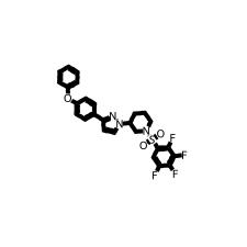 O=S(=O)(c1cc(F)c(F)c(F)c1F)N1CCCC(n2ccc(-c3ccc(Oc4ccccc4)cc3)n2)C1